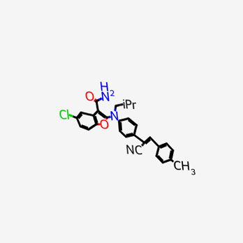 Cc1ccc(/C=C(\C#N)c2ccc(N(CC(C)C)c3oc4ccc(Cl)cc4c3C(N)=O)cc2)cc1